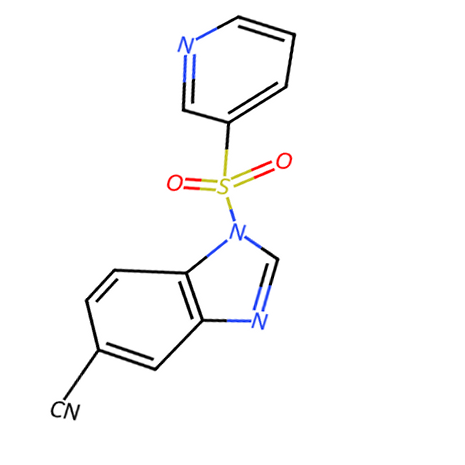 N#Cc1ccc2c(c1)ncn2S(=O)(=O)c1cccnc1